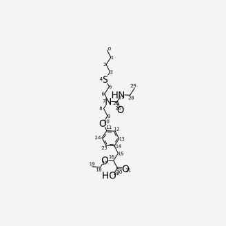 CCCCSCCN(CCOc1ccc(CC(OCC)C(=O)O)cc1)C(=O)NCC